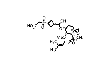 CO[C@@H]1[C@H](OC(O)N2CC(S(=O)(=O)CC(=O)O)C2)CC[C@]2(CO2)[C@H]1[C@@]1(C)O[C@@H]1CC=C(C)C